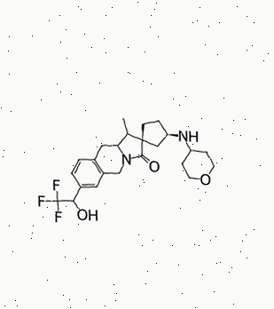 CC1C2Cc3ccc(C(O)C(F)(F)F)cc3CN2C(=O)[C@]12CC[C@@H](NC1CCOCC1)C2